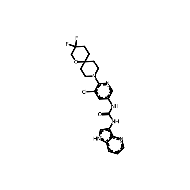 O=C(Nc1cnc(N2CCC3(CC2)CCC(F)(F)CO3)c(Cl)c1)Nc1c[nH]c2cccnc12